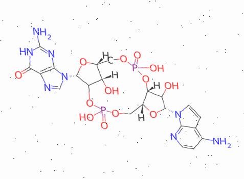 Nc1nc2c(ncn2[C@@H]2O[C@@H]3COP(=O)(O)O[C@@H]4C(O)[C@H](n5ccc6c(N)ccnc65)O[C@@H]4COP(=O)(O)OC2[C@H]3O)c(=O)[nH]1